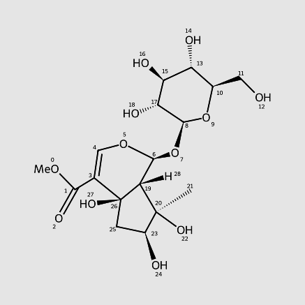 COC(=O)C1=CO[C@@H](O[C@@H]2O[C@H](CO)[C@@H](O)[C@H](O)[C@H]2O)[C@@H]2[C@@](C)(O)[C@@H](O)C[C@]12O